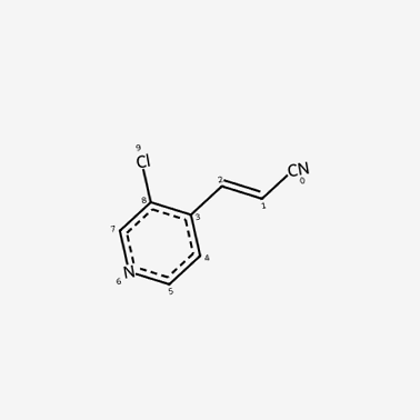 N#CC=Cc1ccncc1Cl